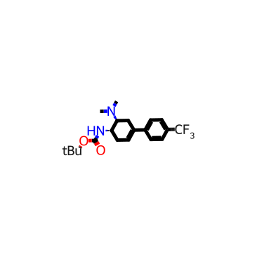 CN(C)[C@H]1CC(c2ccc(C(F)(F)F)cc2)=CC[C@@H]1NC(=O)OC(C)(C)C